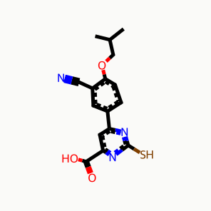 CC(C)COc1ccc(-c2cc(C(=O)O)nc(S)n2)cc1C#N